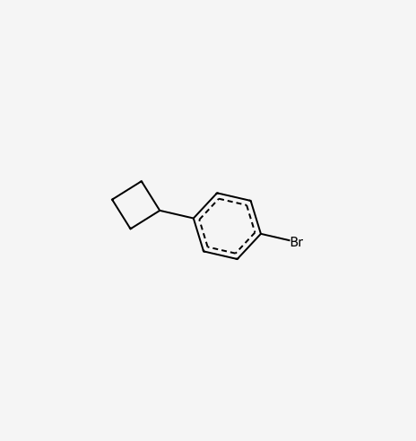 Brc1ccc(C2CCC2)cc1